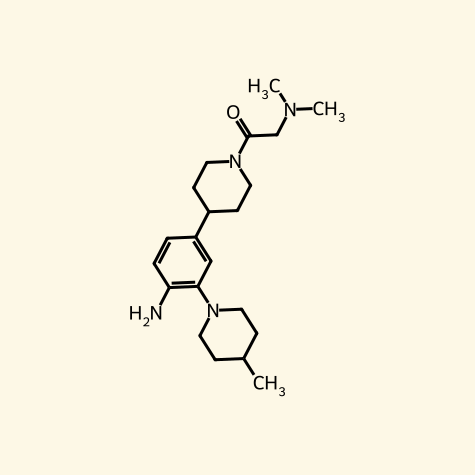 CC1CCN(c2cc(C3CCN(C(=O)CN(C)C)CC3)ccc2N)CC1